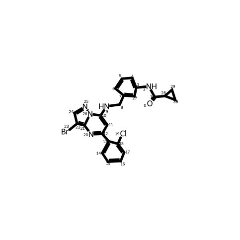 O=C(Nc1cccc(CNc2cc(-c3ccccc3Cl)nc3c(Br)cnn23)c1)C1CC1